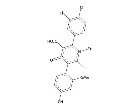 CCn1c(C)c(-c2ccc(C#N)cc2SC)c(=O)c(C(=O)O)c1-c1ccc(Cl)c(Cl)c1